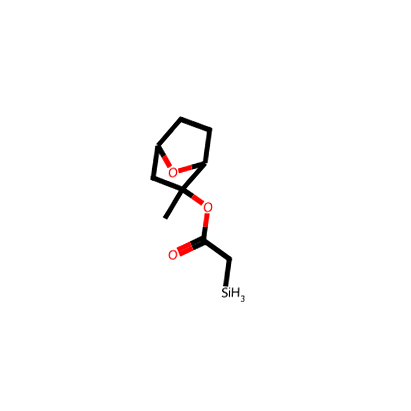 CC1(OC(=O)C[SiH3])CC2CCC1O2